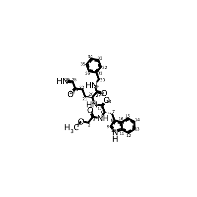 COCC(=O)N[C@@H](Cc1c[nH]c2ccccc12)C(=O)N[C@@H](CCC(=O)C=N)C(=O)NCc1ccccc1